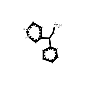 O=C(O)CC(c1ccccc1)c1ccnnc1